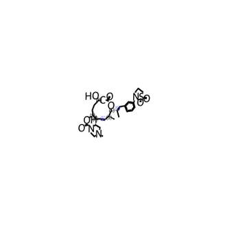 C/C(=C\c1cccc(N2CCCS2(=O)=O)c1)[C@H]1OC(=O)C[C@H](O)CC[C@H](C)[C@@H](C2CN(C)CCN2C(=O)O)/C=C/[C@@H]1C